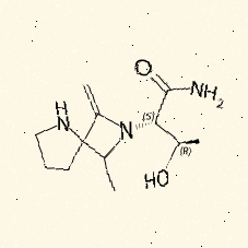 C=C1N([C@H](C(N)=O)[C@@H](C)O)C(C)C12CCCN2